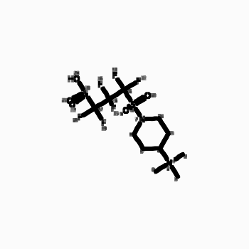 C[N+](C)(C)C1CCN(S(=O)(=O)C(F)(F)C(F)(F)C(F)(F)S(=O)(=O)O)CC1